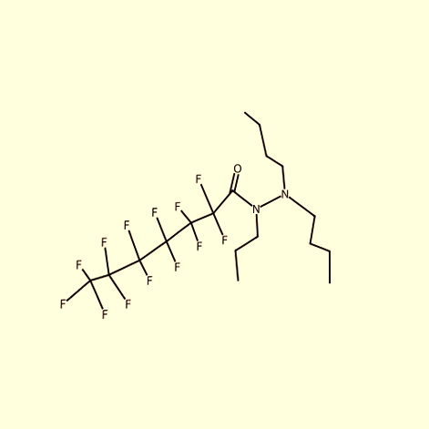 CCCCN(CCCC)N(CCC)C(=O)C(F)(F)C(F)(F)C(F)(F)C(F)(F)C(F)(F)C(F)(F)F